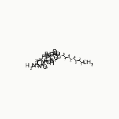 CCCCCCCCCCOP1(=O)OC[C@H]2O[C@@H](n3ccc(N)nc3=O)C(F)(F)[C@@H]2O1